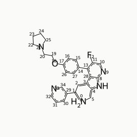 C=C(/C=c1\c(=C/N)[nH]c2ncc(F)c(-c3ccc(OCCN4CCCC4)cc3)c12)c1cccnc1